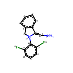 [NH2][Ti]=[C]1c2ccccc2CN1c1c(F)cccc1F